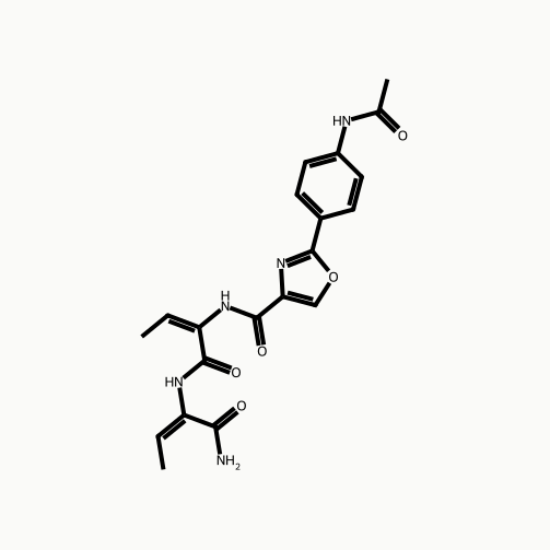 CC=C(NC(=O)C(=CC)NC(=O)c1coc(-c2ccc(NC(C)=O)cc2)n1)C(N)=O